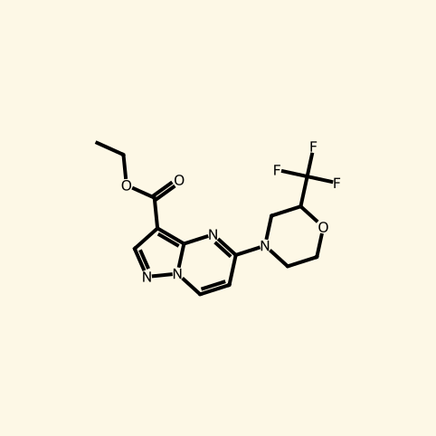 CCOC(=O)c1cnn2ccc(N3CCOC(C(F)(F)F)C3)nc12